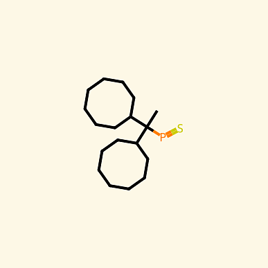 CC(P=S)(C1CCCCCCC1)C1CCCCCCC1